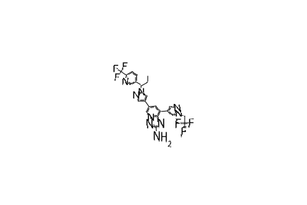 CCC(c1ccc(C(F)(F)F)nc1)n1cc(-c2cc(-c3cnn(CC(F)(F)F)c3)c3nc(N)nn3c2)cn1